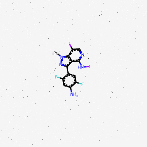 CC(C)n1nc(-c2cc(F)c(N)cc2F)c2c(NI)ncc(I)c21